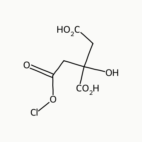 O=C(O)CC(O)(CC(=O)OCl)C(=O)O